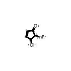 CCCC1C(=O)C=CC1O